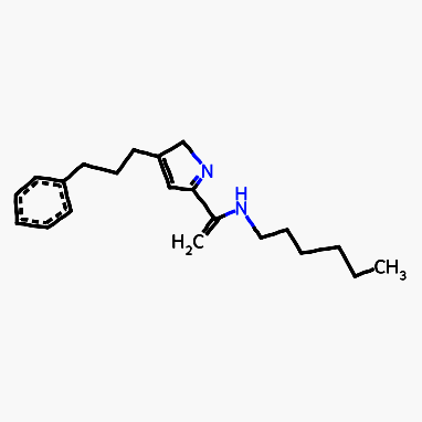 C=C(NCCCCCC)C1=NCC(CCCc2ccccc2)=C1